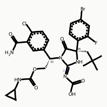 CC(C)(C)C[C@]1(c2ccc(Br)cc2F)N/C(=N\C(=O)O)N([C@H](COC(=O)NC2CC2)c2ccc(Cl)c(C(N)=O)c2)C1=O